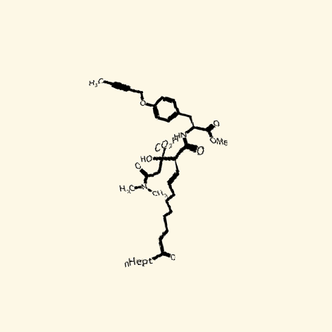 CC#CCOc1ccc(C[C@H](NC(=O)[C@@H](C=CCCCCCCC(=O)CCCCCCC)[C@@](O)(CC(=O)N(C)C)C(=O)O)C(=O)OC)cc1